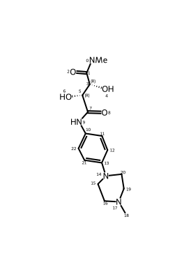 CNC(=O)[C@H](O)[C@@H](O)C(=O)Nc1ccc(N2CCN(C)CC2)cc1